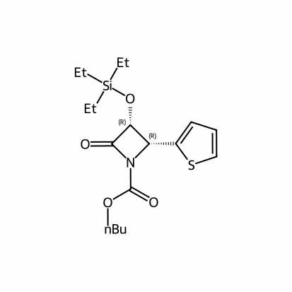 CCCCOC(=O)N1C(=O)[C@H](O[Si](CC)(CC)CC)[C@@H]1c1cccs1